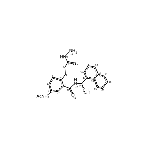 CC(=O)Nc1ccc(CCC(=O)NN)c(C(=O)N[C@H](C)c2cccc3ccccc23)c1